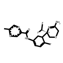 Cc1cnc(C(=O)NC2=CC=C(F)C([C@]3(C(F)F)COCC(N)=N3)C2)cn1